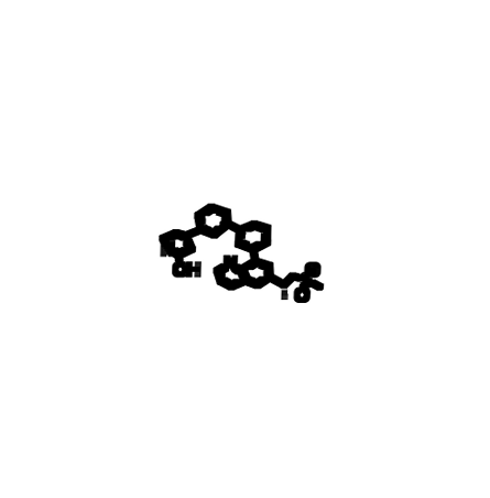 C[C@@H](CS(C)(=O)=O)c1cc(-c2cccc(-c3cccc(-c4ccnc(O)c4)c3)c2)c2ncccc2c1